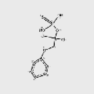 OP(O)(=S)OC(Cl)(Cl)COc1ccccc1